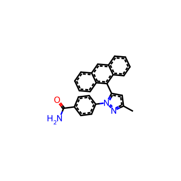 Cc1cc(-c2c3ccccc3cc3ccccc23)n(-c2ccc(C(N)=O)cc2)n1